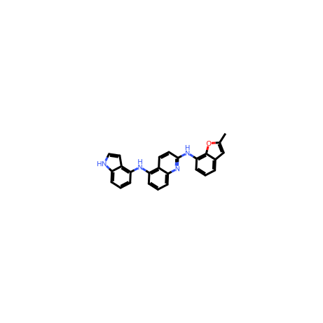 Cc1cc2cccc(Nc3ccc4c(Nc5cccc6[nH]ccc56)cccc4n3)c2o1